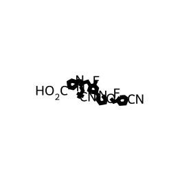 CC(C)(C#N)Cn1c(Cc2ccc(-c3cccc(OCc4ccc(C#N)cc4F)n3)cc2F)nc2ccc(C(=O)O)cc21